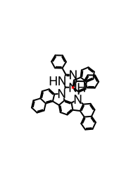 c1ccc(C2=NC(c3ccccc3)NC(n3c4ccc5ccccc5c4c4ccc5c6c7ccccc7ccc6n(-c6ccc7ccccc7c6)c5c43)N2)cc1